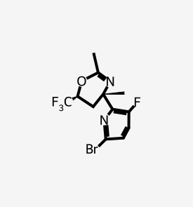 CC1=N[C@](C)(c2nc(Br)ccc2F)C[C@@H](C(F)(F)F)O1